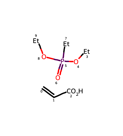 C=CC(=O)O.CCOP(=O)(CC)OCC